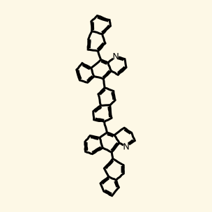 c1ccc2cc(-c3c4ccccc4c(-c4ccc5cc(-c6c7ccccc7c(-c7ccc8ccccc8c7)c7ncccc67)ccc5c4)c4cccnc34)ccc2c1